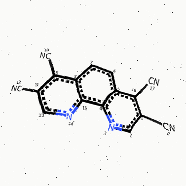 N#Cc1cnc2c(ccc3c(C#N)c(C#N)cnc32)c1C#N